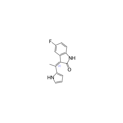 C/C(=C1/C(=O)Nc2ccc(F)cc21)c1ccc[nH]1